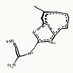 Cc1cccc2[nH]c(NC(=N)N)nc12